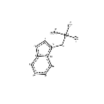 CCCC[N+]([O-])(CC)Cn1ccc2ccccc21